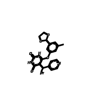 Cc1cc(Oc2[nH]c(=O)[nH]c(=O)c2C(c2ccncc2)C(C)C)cc(C2OCCO2)c1